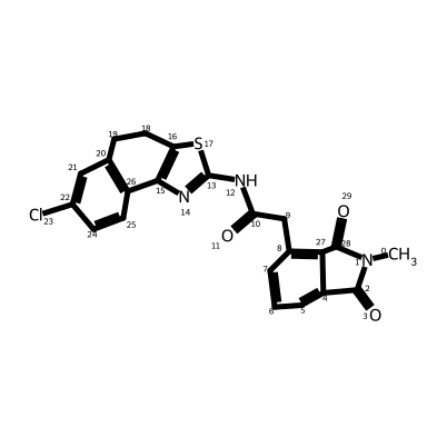 CN1C(=O)c2cccc(CC(=O)Nc3nc4c(s3)CCc3cc(Cl)ccc3-4)c2C1=O